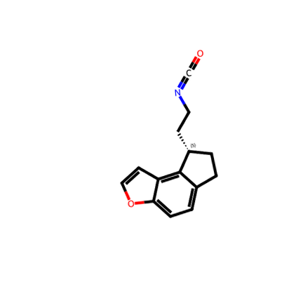 O=C=NCC[C@@H]1CCc2ccc3occc3c21